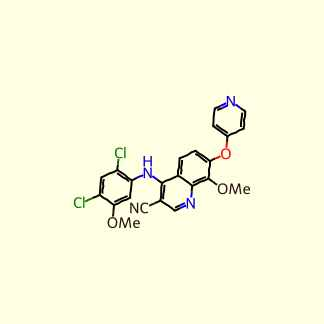 COc1cc(Nc2c(C#N)cnc3c(OC)c(Oc4ccncc4)ccc23)c(Cl)cc1Cl